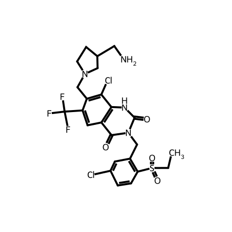 CCS(=O)(=O)c1ccc(Cl)cc1Cn1c(=O)[nH]c2c(Cl)c(CN3CCC(CN)C3)c(C(F)(F)F)cc2c1=O